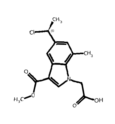 COC(=O)c1cn(CC(=O)O)c2c(C)cc([C@H](C)Cl)cc12